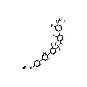 CCCCCc1ccc(-c2cnc(-c3ccc(C(F)(F)Oc4ccc(-c5ccc(OC(F)(F)F)c(F)c5)c(F)c4)c(F)c3)nc2)cc1